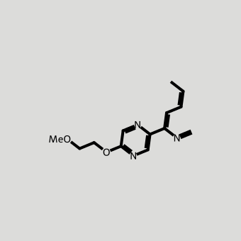 C=N/C(=C\C=C/C)c1cnc(OCCOC)cn1